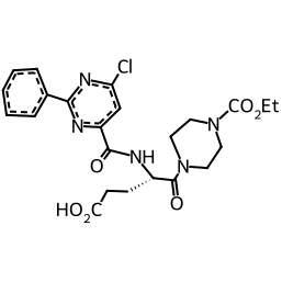 CCOC(=O)N1CCN(C(=O)[C@H](CCC(=O)O)NC(=O)c2cc(Cl)nc(-c3ccccc3)n2)CC1